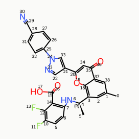 Cc1cc([C@@H](C)Nc2ccc(F)c(F)c2C(=O)O)c2oc(-c3cnn(-c4ccc(C#N)cc4)c3)cc(=O)c2c1